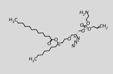 C=CCOP(=O)(OCCN)OC[C@@H](COCC[C@@H](CCCCCCC)OC(=O)CCCCCCCCCCC)N=[N+]=[N-]